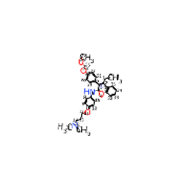 CC/C(=C(/C(=O)Nc1ccc(OCCCN(C)C)cc1)c1ccc(OCOC)cc1)c1ccccc1